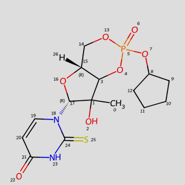 CC1(O)C2OP(=O)(OC3CCCC3)OC[C@H]2O[C@H]1n1ccc(=O)[nH]c1=S